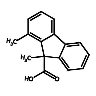 Cc1cccc2c1C(C)(C(=O)O)c1ccccc1-2